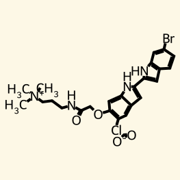 C[N+](C)(C)CCCNC(=O)COc1cc2[nH]c(-c3cc4ccc(Br)cc4[nH]3)cc2cc1Cl.O=C[O-]